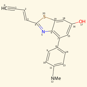 C#CC=Cc1nc2c(-c3ccc(N[11CH3])cc3)cc(O)cc2s1